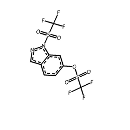 O=S(=O)(Oc1ccc2cnn(S(=O)(=O)C(F)(F)F)c2c1)C(F)(F)F